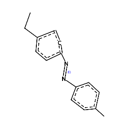 CCc1ccc(/N=N/c2ccc(C)cc2)cc1